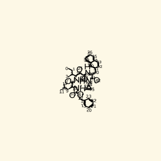 CCC(C)C(NC(=O)C(CC(C)C)NC(=O)OCc1ccccc1)C(=O)C(=O)NC(Cc1ccc2ccccc2c1)C(=O)NC1CC1